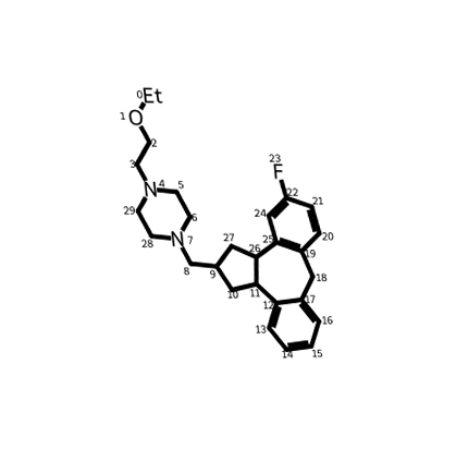 CCOCCN1CCN(CC2CC3c4ccccc4Cc4ccc(F)cc4C3C2)CC1